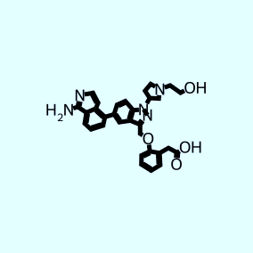 Nc1nccc2c(-c3ccc4c(c3)c(COc3ccccc3CC(=O)O)nn4C3CCN(CCO)C3)cccc12